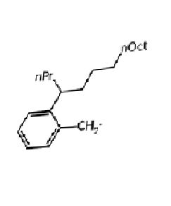 [CH2]c1ccccc1C(CCC)CCCCCCCCCCC